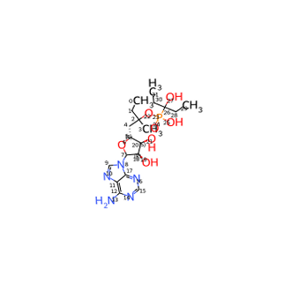 CCC(C)(C[C@H]1OC(n2cnc3c(N)ncnc32)[C@H](O)[C@@H]1O)OP(=O)(O)C(O)(CC)CC